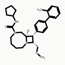 COC[C@H]1[C@@H](c2ccc(-c3ccccc3C)cc2)[C@@H]2CN(C(=O)NC3CCCC3)CCCCN12